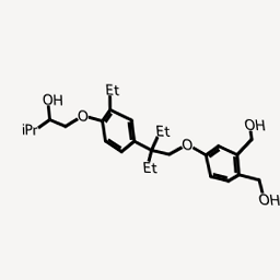 CCc1cc(C(CC)(CC)COc2ccc(CO)c(CO)c2)ccc1OCC(O)C(C)C